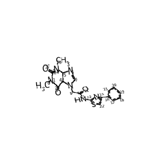 CN1C(=O)C2C(N=CN2CC(=O)Nc2nc(-c3ccccc3)cs2)N(C)C1=O